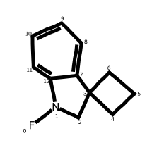 FN1CC2(CCC2)c2ccccc21